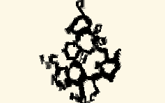 Cc1ccc([C@@H](CC(=O)O)c2ccn3c(C(F)(F)F)nnc3c2C)nc1CN1C[C@H]2CCCCN2c2ncc(Cl)cc2S1(=O)=O